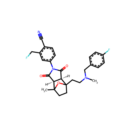 CN(CCC12CCC(C)(O1)[C@H]1C(=O)N(c3ccc(C#N)c(CF)c3)C(=O)[C@H]12)Cc1ccc(F)cc1